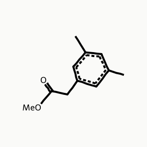 COC(=O)Cc1cc(C)cc(C)c1